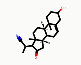 CC(C#N)C1C(=O)C[C@H]2C3CC=C4CC(O)CCC4(C)[C@H]3CCC12C